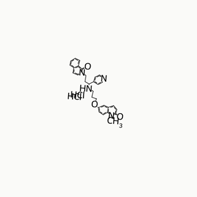 Cl.Cl.Cn1c(=O)ccc2cc(OCCCNC(CCn3ccc4ccccc4c3=O)c3ccncc3)ccc21